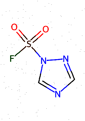 O=S(=O)(F)n1cncn1